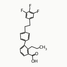 CCCc1c(C(=O)O)cccc1-c1ccc(CCc2cc(F)c(F)c(F)c2)cc1